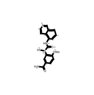 COc1ccc(C(N)=O)cc1N(S)C(=O)Nc1cccc2cnccc12